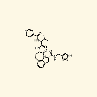 CC(C)[C@H](NC(=O)c1ccncc1)C(=O)N[C@H]1CCc2cccc3c2N(C1=O)[C@H](C(=O)NCc1c[nH]nn1)C3